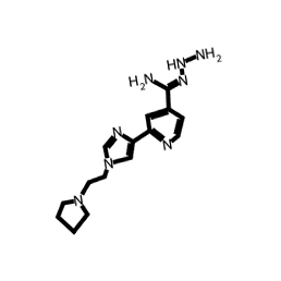 NN/N=C(\N)c1ccnc(-c2cn(CCN3CCCC3)cn2)c1